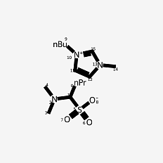 CCCC(N(C)C)S(=O)(=O)[O-].CCCC[n+]1ccn(C)c1